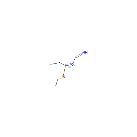 CCS/C(CC)=N/C=N